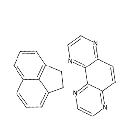 c1cc2c3c(cccc3c1)CC2.c1cnc2c(ccc3nccnc32)n1